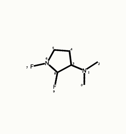 CN(C)C1CCN(F)C1F